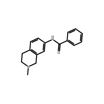 CN1CCc2ccc(NC(=O)c3ccccc3)cc2C1